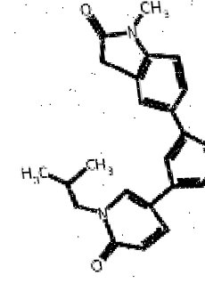 CC(C)Cn1cc(-c2cncc(-c3ccc4c(c3)CC(=O)N4C)c2)ccc1=O